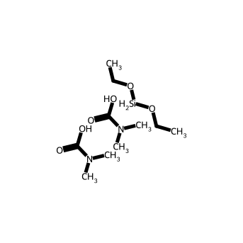 CCO[SiH2]OCC.CN(C)C(=O)O.CN(C)C(=O)O